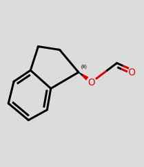 O=CO[C@@H]1CCc2ccccc21